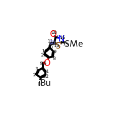 CCC(C)c1ccc(COc2ccc(/C=C3\SC(SC)=NC3=O)cc2)cc1